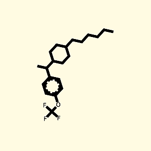 CCCCCCC1CCC(C(C)c2ccc(OC(F)(F)F)cc2)CC1